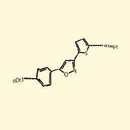 CCCCCCCCc1ccc(-c2cc(-c3ccc(CCCCCCC)s3)no2)cc1